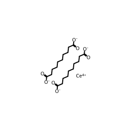 O=C([O-])CCCCCCCCC(=O)[O-].O=C([O-])CCCCCCCCC(=O)[O-].[Ce+4]